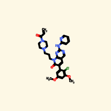 C=CC(=O)N1CCN(CCCn2c(=O)c(-c3cc(OC)cc(OC)c3Cl)cc3cnc(Nc4ccccn4)nc32)CC1